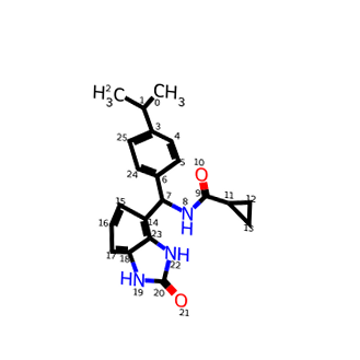 CC(C)c1ccc(C(NC(=O)C2CC2)c2cccc3[nH]c(=O)[nH]c23)cc1